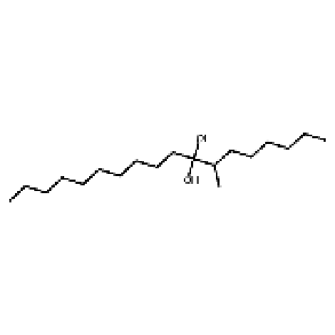 CCCCCCCCCCC(O)(O)C(C)CCCCCC